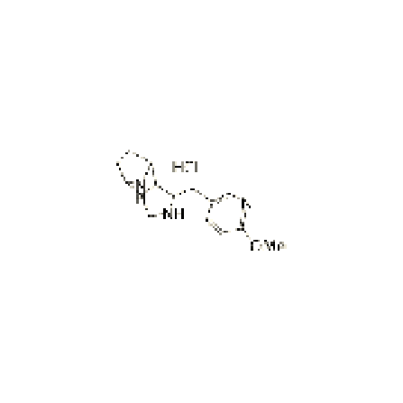 COc1ccc(CC2NCC3C4CCC(N4)C23)cn1.Cl